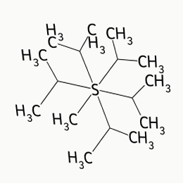 CC(C)S(C)(C(C)C)(C(C)C)(C(C)C)C(C)C